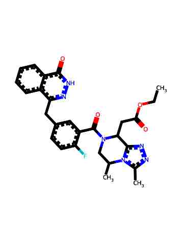 CCOC(=O)CC1c2nnc(C)n2C(C)CN1C(=O)c1cc(Cc2n[nH]c(=O)c3ccccc23)ccc1F